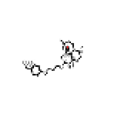 C[C@H]1[C@@H](OCCCOc2ccc(CC(=O)O)cc2)O[C@@H]2O[C@@]3(C)CCC4[C@H](C)CC[C@@H]1[C@]42OO3